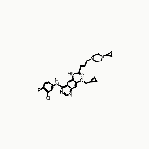 O=C(/C=C/CN1CCN(C2CC2)CC1)Nc1cc2c(Nc3ccc(F)c(Cl)c3)ncnc2cc1OCC1CC1